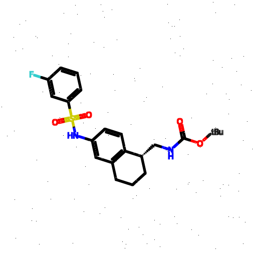 CC(C)(C)OC(=O)NC[C@@H]1CCCc2cc(NS(=O)(=O)c3cccc(F)c3)ccc21